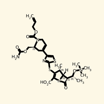 C=CCOC(=O)N1CC=C(c2csc(SC3=C(C(=O)O)N4C(=O)[C@H]([C@@H](C)O[Si](C)(C)C)[C@H]4[C@H]3C)n2)C[C@H]1COC(N)=O